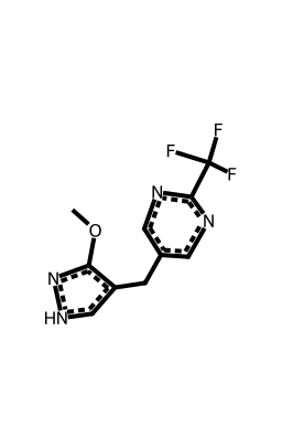 COc1n[nH]cc1Cc1cnc(C(F)(F)F)nc1